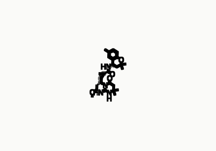 COCC[C@H]([C@@H]1C[C@H]1C(=O)N[C@H]1CC(C)(C)Oc2ccc(C)cc21)N1C(=N)NC(C)(C)CC1=O